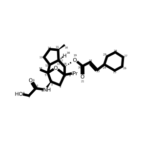 CC(C)C12C[C@@H](NC(=O)CO)C(C)(O1)C1CC[C@@H](C)[C@H]1[C@@H]2OC(=O)/C=C/C1CCCCC1